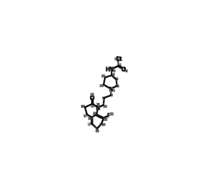 CCC(=O)NC1CCN(CCCN2C(=O)CCC3=CCCC(F)=C32)CC1